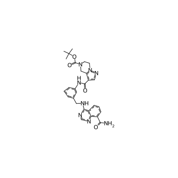 CC(C)(C)OC(=O)N1CCn2ncc(C(=O)Nc3cccc(CNc4ncnc5c(C(N)=O)cccc45)c3)c2C1